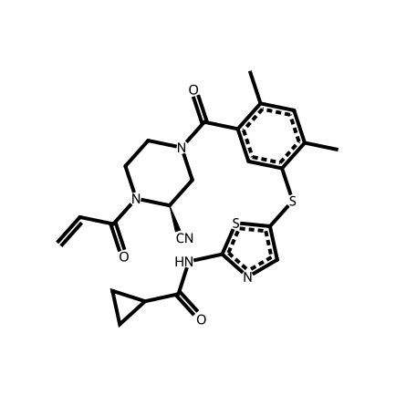 C=CC(=O)N1CCN(C(=O)c2cc(Sc3cnc(NC(=O)C4CC4)s3)c(C)cc2C)C[C@H]1C#N